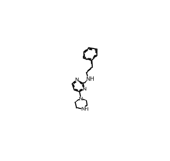 c1ccc(CCNc2nccc(N3CCNCC3)n2)cc1